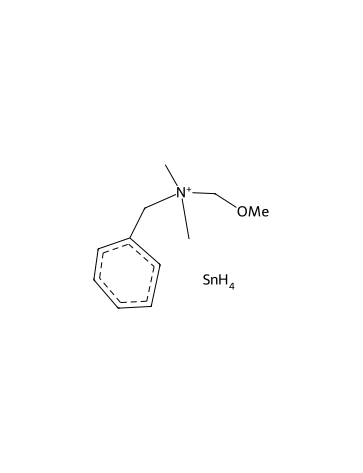 COC[N+](C)(C)Cc1ccccc1.[SnH4]